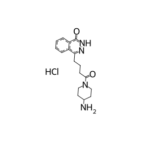 Cl.NC1CCN(C(=O)CCCc2n[nH]c(=O)c3ccccc23)CC1